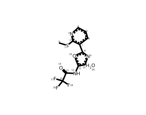 CSc1ncccc1-c1ncc(NC(=O)C(F)(F)F)o1.O